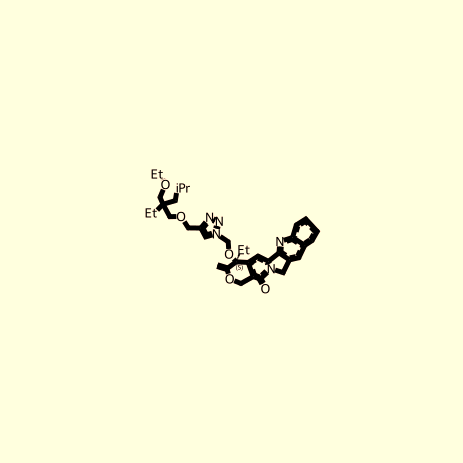 C=C1OCc2c(cc3n(c2=O)Cc2cc4ccccc4nc2-3)[C@]1(CC)OCn1cc(COCC(CC)(COCC)CC(C)C)nn1